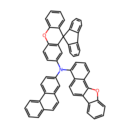 c1ccc2c(c1)Oc1ccc(N(c3ccc4c(ccc5ccccc54)c3)c3cccc4c3ccc3c5ccccc5oc43)cc1C21c2ccccc2-c2ccccc21